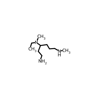 CCN(C)C(CCN)CCCNC